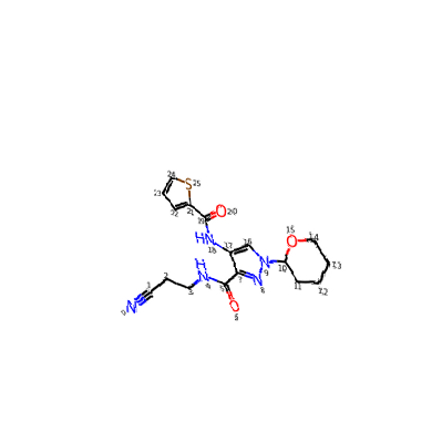 N#CCCNC(=O)c1nn(C2CCCCO2)cc1NC(=O)c1cccs1